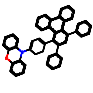 C1=C(c2c(-c3ccccc3)cc(-c3ccccc3)c3c4ccccc4c4ccccc4c23)CCC(N2c3ccccc3Oc3ccccc32)=C1